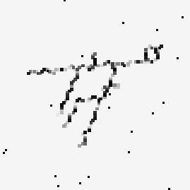 CCCCCCCCC(CCCCCCCC)COC(=O)CCN(CCCCN1CCN(C)CC1)CCC(=O)OCC(CCCCCCCC)CCCCCCCC